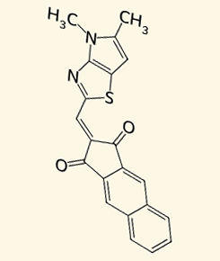 Cc1cc2sc(C=C3C(=O)c4cc5ccccc5cc4C3=O)nc2n1C